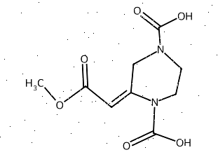 COC(=O)C=C1CN(C(=O)O)CCN1C(=O)O